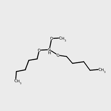 CCCCCO[SiH](OC)OCCCCC